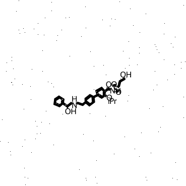 CC(C)Oc1cc(-c2ccc(CCNC[C@@H](O)c3ccccc3)cc2)ccc1C(=O)NS(=O)(=O)CCCO